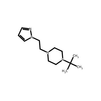 CC(C)(C)N1CCN(CCn2cccn2)CC1